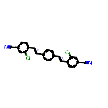 N#Cc1ccc(/C=C/c2ccc(/C=C/c3ccc(C#N)cc3Cl)cc2)c(Cl)c1